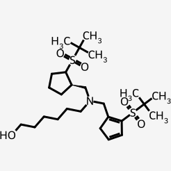 CC(C)(C)S(=O)(=O)C1=C(CN(CCCCCCO)C[C@H]2CCCC2S(=O)(=O)C(C)(C)C)CC=C1